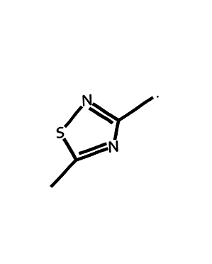 [CH2]c1nsc(C)n1